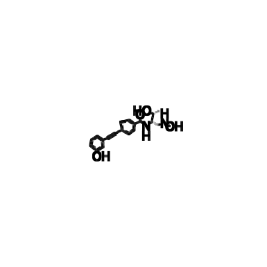 C[C@@H](O)[C@H](CNO)NC(=O)c1ccc(C#Cc2cccc(O)c2)cc1